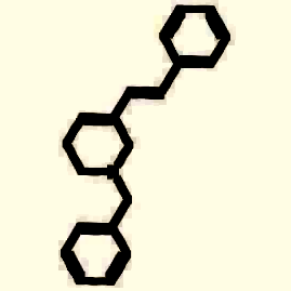 C(=Cc1ccccc1)C1=CCCN(Cc2ccccc2)C1